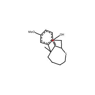 COc1ccc2c(c1)C1(C)CCCCSC(C2)C1=NO